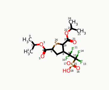 CC(C)OC(=O)C1CC(C(F)(F)C(F)(F)S(=O)(=O)O)C(C(=O)OC(C)C)S1